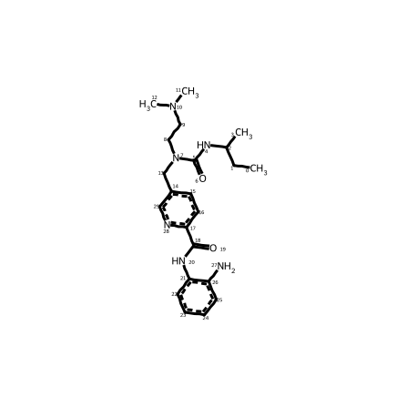 CCC(C)NC(=O)N(CCN(C)C)Cc1ccc(C(=O)Nc2ccccc2N)nc1